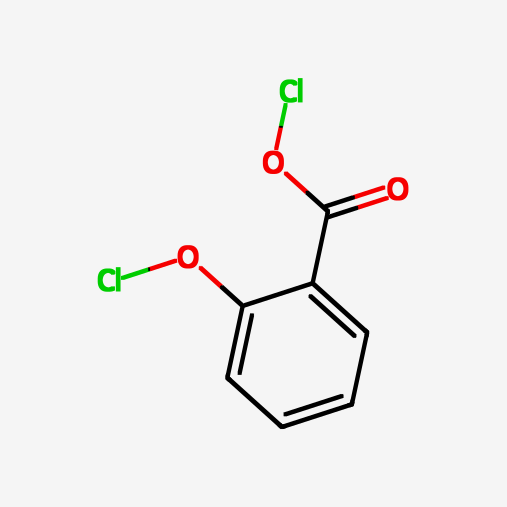 O=C(OCl)c1ccccc1OCl